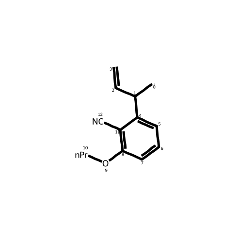 [CH2]C(C=C)c1cccc(OCCC)c1C#N